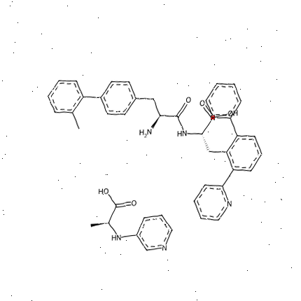 C[C@H](Nc1cccnc1)C(=O)O.Cc1ccccc1-c1ccc(C[C@H](N)C(=O)N[C@@H](Cc2c(-c3ccccn3)cccc2-c2ccccn2)C(=O)O)cc1